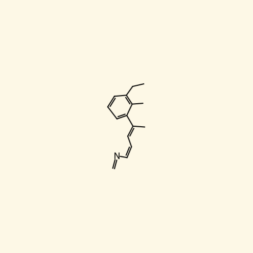 C=N/C=C\C=C(/C)c1cccc(CC)c1C